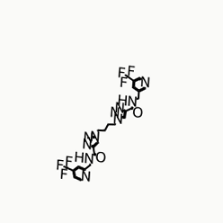 O=C(NCc1cncc(C(F)(F)F)c1)c1cn(CCCCn2cc(C(=O)NCc3cc(C(F)(F)F)ccn3)nn2)nn1